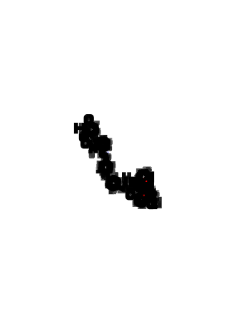 Cn1c(=O)n(C2CCC(=O)NC2=O)c2cccc(/C=C/C3CCN(C[C@H]4CC[C@H](CNC(=O)[C@@H]5NC6(CCCCC6)[C@@]6(C(=O)Nc7cc(Cl)ccc76)[C@H]5c5cccc(Cl)c5F)CC4)CC3)c21